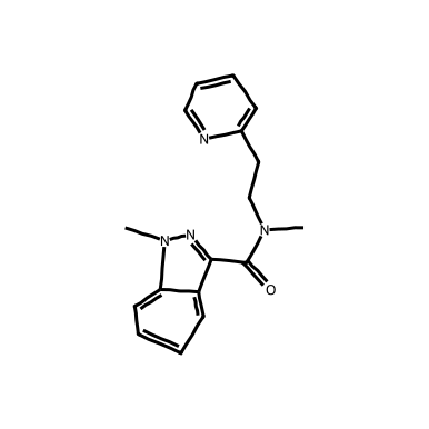 CN(CCc1ccccn1)C(=O)c1nn(C)c2ccccc12